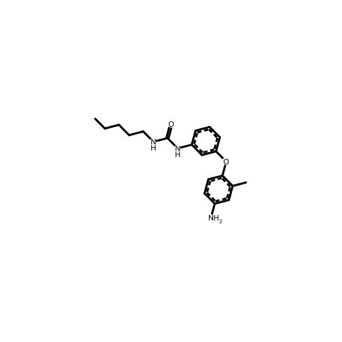 CCCCCNC(=O)Nc1cccc(Oc2ccc(N)cc2C)c1